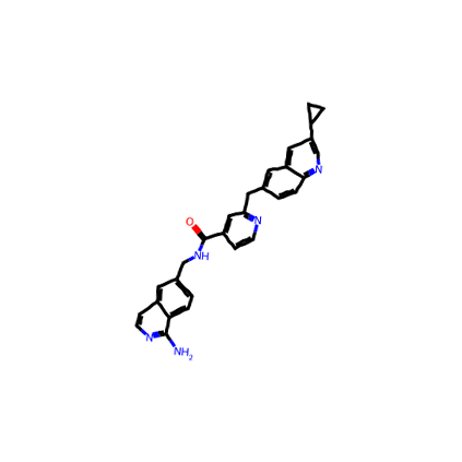 Nc1nccc2cc(CNC(=O)c3ccnc(Cc4ccc5ncc(C6CC6)cc5c4)c3)ccc12